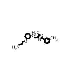 Cc1cccc(-c2nc(CO[C@H]3CCC[C@@H](OCCCN)C3)c(C)o2)c1